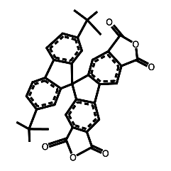 CC(C)(C)c1ccc2c(c1)C1(c3cc(C(C)(C)C)ccc3-2)c2cc3c(cc2-c2cc4c(cc21)C(=O)OC4=O)C(=O)OC3=O